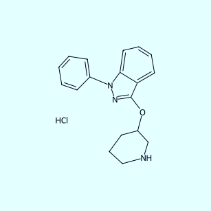 Cl.c1ccc(-n2nc(OC3CCCNC3)c3ccccc32)cc1